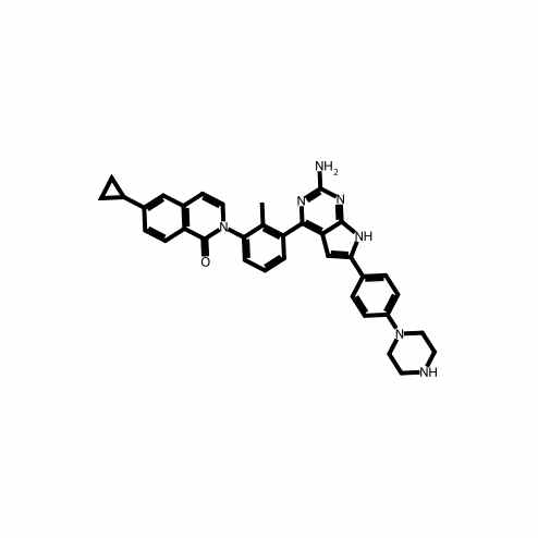 Cc1c(-c2nc(N)nc3[nH]c(-c4ccc(N5CCNCC5)cc4)cc23)cccc1-n1ccc2cc(C3CC3)ccc2c1=O